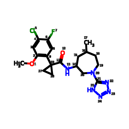 COc1cc(Cl)c(F)cc1C1(C(=O)NC2CC(C)CCN(c3nnn[nH]3)C2)CC1